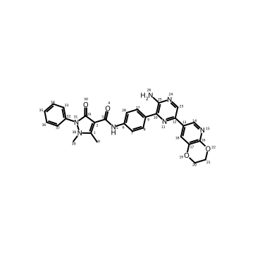 Cc1c(C(=O)Nc2ccc(-c3nc(-c4cnc5c(c4)OCCO5)cnc3N)cc2)c(=O)n(-c2ccccc2)n1C